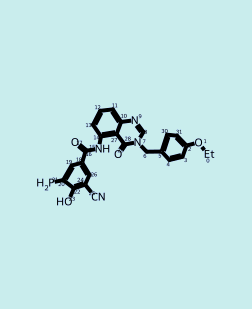 CCOc1ccc(Cn2cnc3cccc(NC(=O)c4cc(P)c(O)c(C#N)c4)c3c2=O)cc1